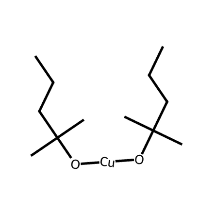 CCCC(C)(C)[O][Cu][O]C(C)(C)CCC